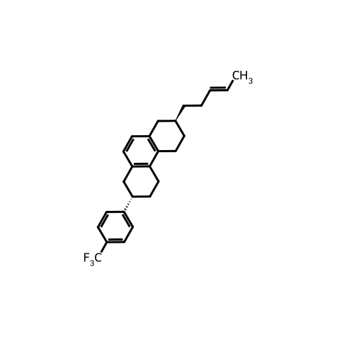 CC=CCC[C@H]1CCc2c(ccc3c2CC[C@H](c2ccc(C(F)(F)F)cc2)C3)C1